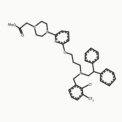 COC(=O)CN1CCN(c2cccc(OCCCN(Cc3cccc(C(F)(F)F)c3Cl)CC(c3ccccc3)c3ccccc3)n2)CC1